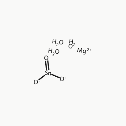 O.O.O.[Mg+2].[O]=[Sn]([O-])[O-]